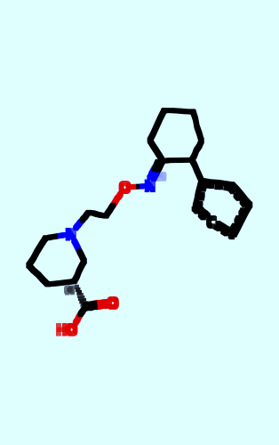 O=C(O)[C@@H]1CCCN(CCO/N=C2\CCCCC2c2ccccc2)C1